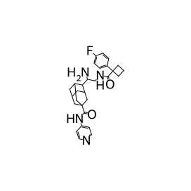 NC(CNC(=O)C1(c2ccc(F)cc2)CCC1)C1C2CC3CC1CC(C(=O)Nc1ccncc1)(C3)C2